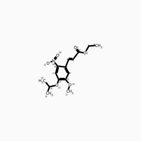 CCOC(=O)/C=C/c1cc(OC)c(OC(C)C)cc1[N+](=O)[O-]